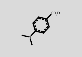 [CH2]COC(=O)c1ccc(N(C)C)cc1